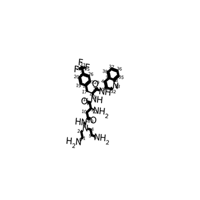 NCCN(CCN)NC(=O)C[C@H](N)C(=O)N[C@@H](Cc1ccc(C(F)(F)F)cc1)C(=O)Nc1cnc2ccccc2c1